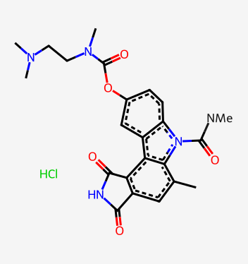 CNC(=O)n1c2ccc(OC(=O)N(C)CCN(C)C)cc2c2c3c(cc(C)c21)C(=O)NC3=O.Cl